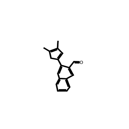 CC1=C(C)CC(c2cc3ccccc3cc2C=O)=C1